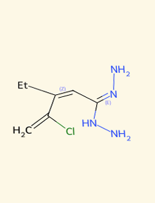 C=C(Cl)/C(=C\C(=N/N)NN)CC